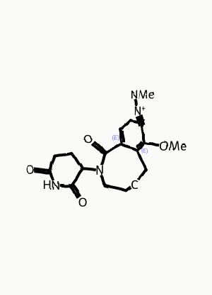 CN[N+]#C/C(OC)=C1/CCCCN(C2CCC(=O)NC2=O)C(=O)/C1=C/CF